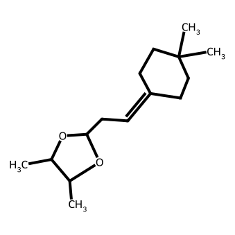 CC1OC(CC=C2CCC(C)(C)CC2)OC1C